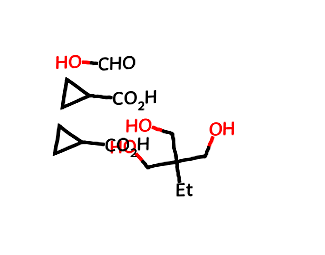 CCC(CO)(CO)CO.O=C(O)C1CC1.O=C(O)C1CC1.O=CO